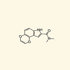 CN(C)C(=O)c1cc2c3c(ccc2[nH]1)OC=CO3